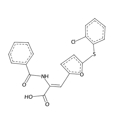 O=C(O)C(=Cc1ccc(Sc2ccccc2Cl)o1)NC(=O)c1ccccc1